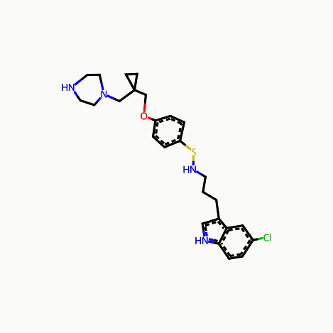 Clc1ccc2[nH]cc(CCCNSc3ccc(OCC4(CN5CCNCC5)CC4)cc3)c2c1